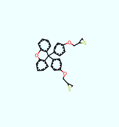 c1ccc2c(c1)Oc1ccccc1C2(c1ccc(OCC2CS2)cc1)c1ccc(OCC2CS2)cc1